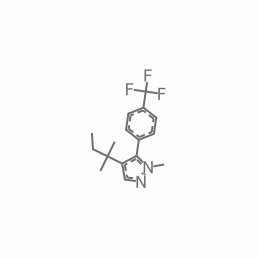 CCC(C)(C)c1cnn(C)c1-c1ccc(C(F)(F)F)cc1